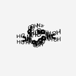 O=S(=O)(O)c1ccc(Nc2nc(Nc3ccc(C=Cc4ccc(Nc5nc(Nc6cccc(S(=O)(=O)O)c6)nc(N(CCO)CCO)n5)cc4S(=O)(=O)O)c(S(=O)(=O)O)c3)nc(N(CCO)CCO)n2)cc1.[Na]